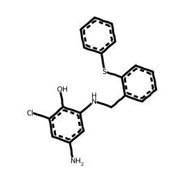 Nc1cc(Cl)c(O)c(NCc2ccccc2Sc2ccccc2)c1